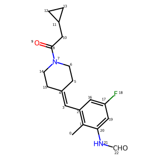 Cc1c(C=C2CCN(C(=O)CC3CC3)CC2)cc(F)cc1NC=O